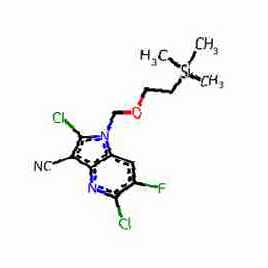 C[Si](C)(C)CCOCn1c(Cl)c(C#N)c2nc(Cl)c(F)cc21